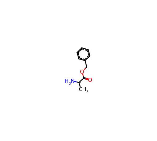 C[C](N)C(=O)OCc1ccccc1